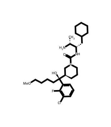 COCCCC[C@@](O)(c1cccc(Cl)c1F)[C@@H]1CCCN(C(=O)N[C@@H](CC2CCCCC2)[C@@H](C)N)C1